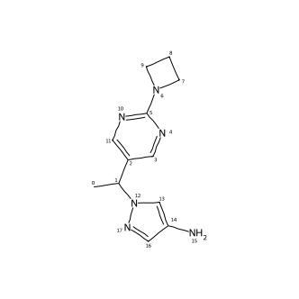 CC(c1cnc(N2CCC2)nc1)n1cc(N)cn1